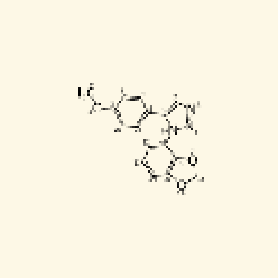 COc1ccc(-c2cnnn2-c2cccc3c2OCO3)cc1